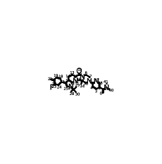 C=C(c1ccc(N2CCN(C(=O)c3ccc4c(-c5ccc(C)c(F)c5)cn(C(C)(C)C)c4n3)C(C)(C)C2)nc1)N(C)C